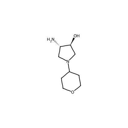 N[C@H]1CN(C2CCOCC2)C[C@@H]1O